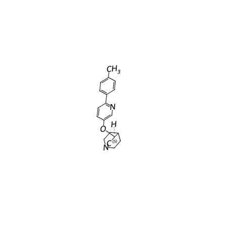 Cc1ccc(-c2ccc(O[C@@H]3CN4CCC3CC4)cn2)cc1